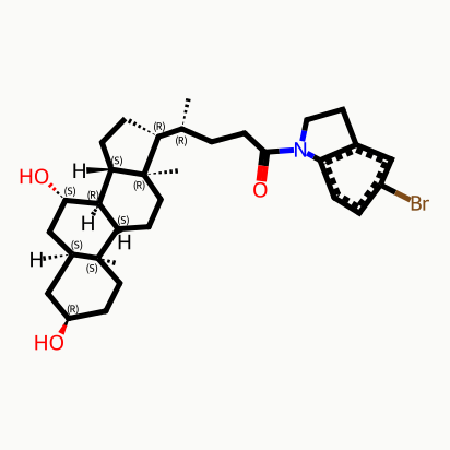 C[C@H](CCC(=O)N1CCc2cc(Br)ccc21)[C@H]1CC[C@H]2[C@@H]3[C@@H](O)C[C@@H]4C[C@H](O)CC[C@]4(C)[C@H]3CC[C@]12C